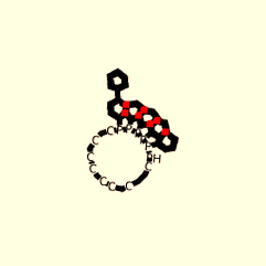 c1ccc(-c2ccc(P3CCCCCCCCCCCCCCPP(c4ccccc4)P(c4ccccc4)P(c4ccccc4)P3c3ccccc3)cc2)cc1